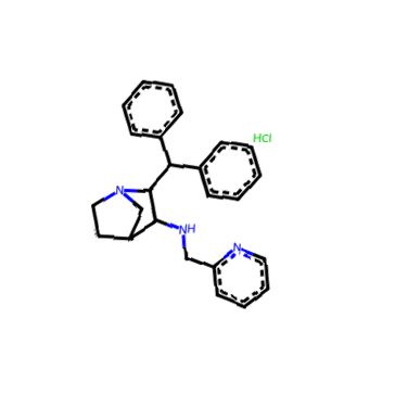 Cl.c1ccc(C(c2ccccc2)C2C(NCc3ccccn3)C3CCN2C3)cc1